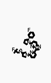 CN(CC(C)(C)F)[C@@H]1CCN(c2cccc(-c3cnc4ccc(N5CCC[C@@H]5c5cccc(F)c5)nn34)n2)C1